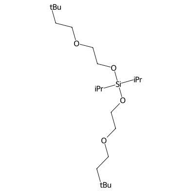 CC(C)[Si](OCCOCCC(C)(C)C)(OCCOCCC(C)(C)C)C(C)C